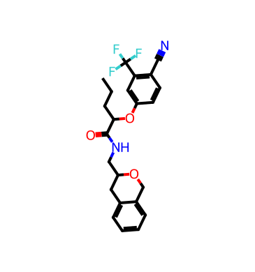 CCCC(Oc1ccc(C#N)c(C(F)(F)F)c1)C(=O)NCC1Cc2ccccc2CO1